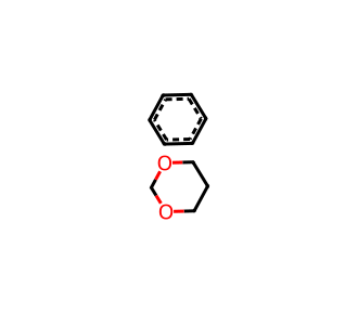 C1COCOC1.c1ccccc1